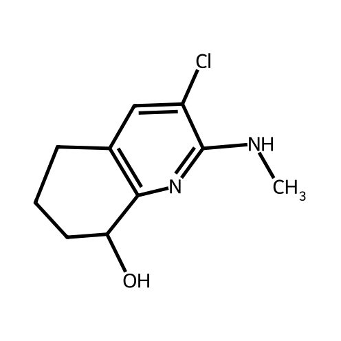 CNc1nc2c(cc1Cl)CCCC2O